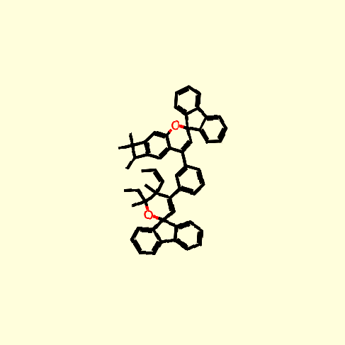 C/C=C\C1(C)C(c2cccc(C3=CC4(Oc5cc6c(cc53)C(C)C6(C)C)c3ccccc3-c3ccccc34)c2)=CC2(OC1(C)CC)c1ccccc1-c1ccccc12